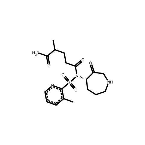 Cc1cccnc1S(=O)(=O)N(C(=O)[CH]CC(C)C(N)=O)[C@H]1CCCNCC1=O